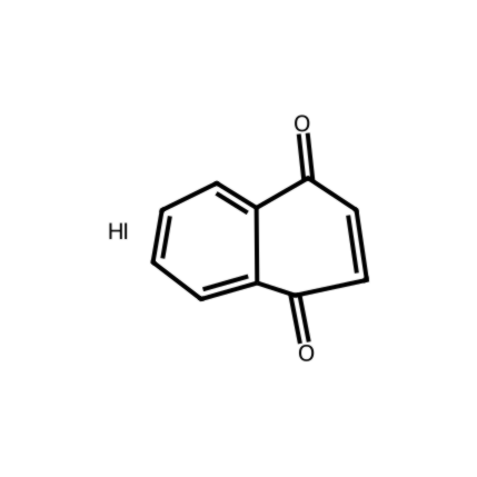 I.O=C1C=CC(=O)c2ccccc21